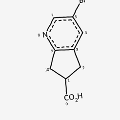 O=C(O)C1Cc2cc(Br)cnc2C1